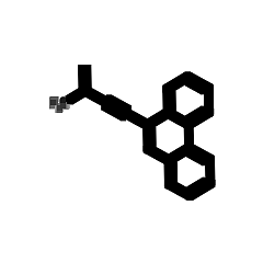 C=C(C#Cc1cc2ccccc2c2ccccc12)C(F)(F)F